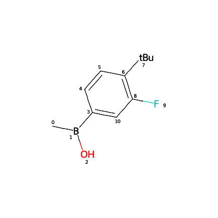 CB(O)c1ccc(C(C)(C)C)c(F)c1